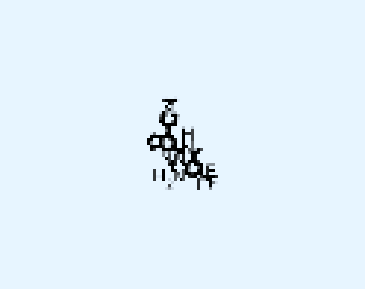 Cc1nc(NC(C)c2cc(N)cc(C(F)(F)F)c2)c2cc(C3=CCN(C(C)C)CC3)c3c(c2n1)CCC3